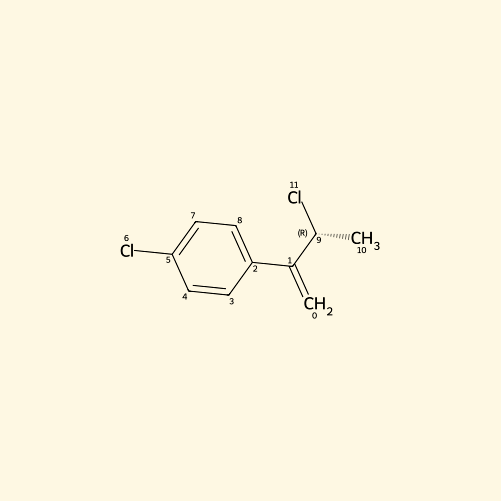 C=C(c1ccc(Cl)cc1)[C@@H](C)Cl